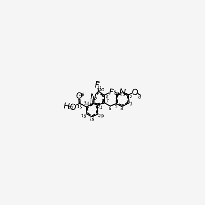 COc1ccc(Cc2c(F)c(F)nc3c(C(=O)O)cccc23)cn1